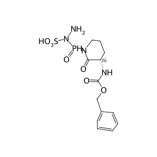 NN([PH](=O)N1CCC[C@H](NC(=O)OCc2ccccc2)C1=O)S(=O)(=O)O